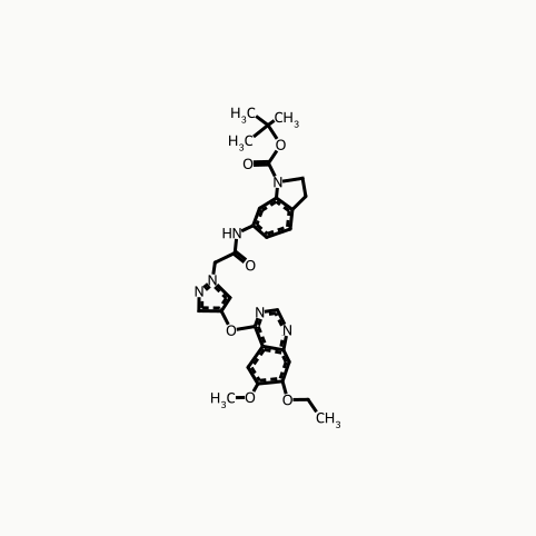 CCOc1cc2ncnc(Oc3cnn(CC(=O)Nc4ccc5c(c4)N(C(=O)OC(C)(C)C)CC5)c3)c2cc1OC